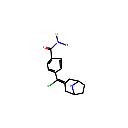 CCN(CC)C(=O)c1ccc(C(Br)=C2CC3CCC(C2)N3)cc1